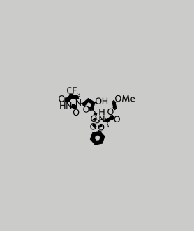 COCCOC(=O)[C@H](C)N[P@](=O)(OC[C@@H]1O[C@H](n2cc(C(F)(F)F)c(=O)[nH]c2=O)C[C@H]1O)Oc1ccccc1